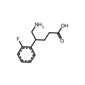 NCC(CCC(=O)O)c1ccccc1F